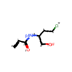 C=CC(=O)NC(CO)CCCl